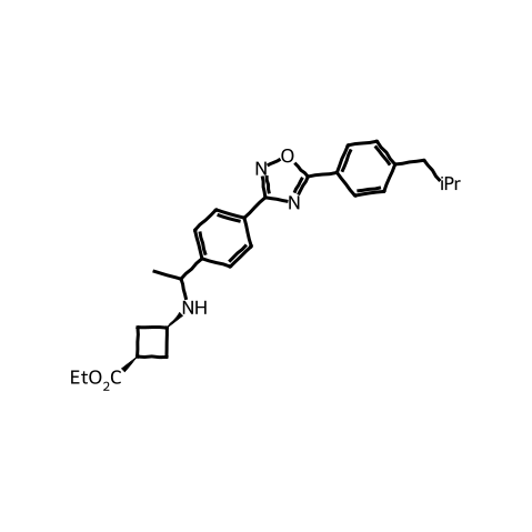 CCOC(=O)[C@H]1C[C@@H](NC(C)c2ccc(-c3noc(-c4ccc(CC(C)C)cc4)n3)cc2)C1